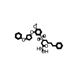 COc1ccc(S(=O)(=O)C(CCCCc2ccccc2)CC(=O)NO)cc1O[C@@H]1CC[C@@H](Oc2ccccc2)C1